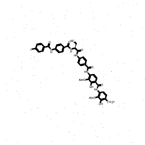 COc1c(NC(=O)c2ccc(NC(=O)c3ccc(NC(=O)[C@H](CC#N)NC(=O)c4ccc(NC(=O)c5ccc(F)cc5)cc4)cc3)c(OC)c2O)ccc(C(=O)O)c1O